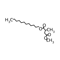 CCCCCCCCCCCCOC(=O)C(C)CC(=O)OC